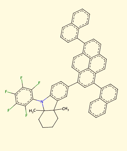 CC12CCCCC1(C)N(c1c(F)c(F)c(F)c(F)c1F)c1ccc(-c3cc(-c4cccc5ccccc45)c4ccc5ccc(-c6cccc7ccccc67)c6ccc3c4c56)cc12